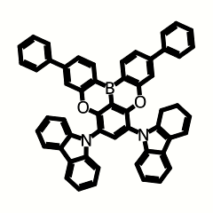 C1=Cc2c(n(-c3cc(-n4c5ccccc5c5ccccc54)c4c5c3Oc3cc(-c6ccccc6)ccc3B5c3ccc(-c5ccccc5)cc3O4)c3ccccc23)CC1